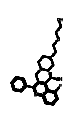 O=C(O)c1c(CN2CCN(CCOCCO)CC2)c(-c2ccccc2)nc2cccc(F)c12